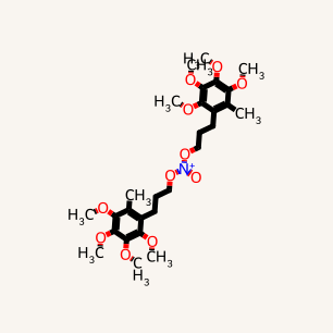 COc1c(C)c(CCCO[N+](=O)OCCCc2c(C)c(OC)c(OC)c(OC)c2OC)c(OC)c(OC)c1OC